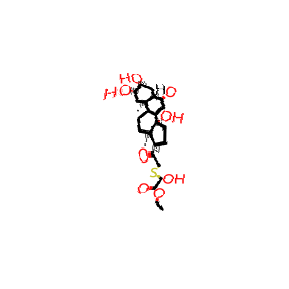 CCOC(=O)C(O)SCC(=O)[C@H]1CC[C@@]2(O)C3=CC(=O)[C@@H]4C[C@@H](O)[C@@H](O)C[C@]4(C)C3CC[C@]12C